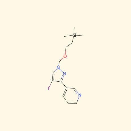 C[Si](C)(C)CCOCn1cc(I)c(-c2cccnc2)n1